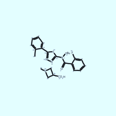 CCCCN(C(=O)c1ccccc1F)c1nnc(-c2ccccc2C)s1.CN1CC(C(=O)O)C1